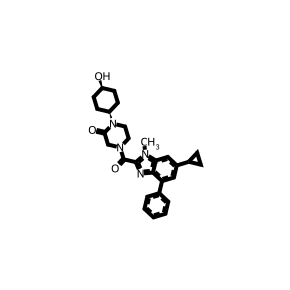 Cn1c(C(=O)N2CCN([C@H]3CC[C@H](O)CC3)C(=O)C2)nc2c(-c3ccccc3)cc(C3CC3)cc21